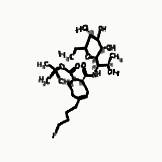 CCC1O[C@H]([C@H](NC(=O)[C@@H]2CC=C(CCCCF)CCN2C(=O)OC(C)(C)C)[C@@H](C)O)[C@@H](O)C(O)[C@H]1O